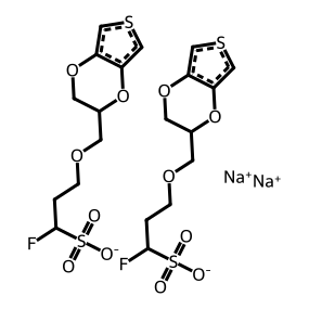 O=S(=O)([O-])C(F)CCOCC1COc2cscc2O1.O=S(=O)([O-])C(F)CCOCC1COc2cscc2O1.[Na+].[Na+]